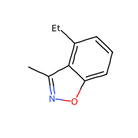 CCc1cccc2onc(C)c12